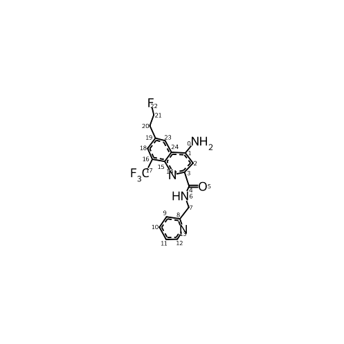 Nc1cc(C(=O)NCc2ccccn2)nc2c(C(F)(F)F)cc(CCF)cc12